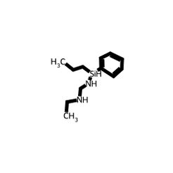 CCC[SiH](NCNCC)c1ccccc1